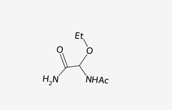 CCOC(NC(C)=O)C(N)=O